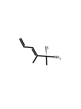 C=C/C=C(\C)[C@](C)(N)CC